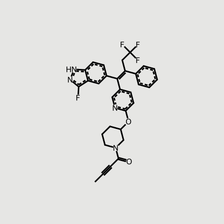 CC#CC(=O)N1CCCC(Oc2ccc(/C(=C(/CC(F)(F)F)c3ccccc3)c3ccc4[nH]nc(F)c4c3)cn2)C1